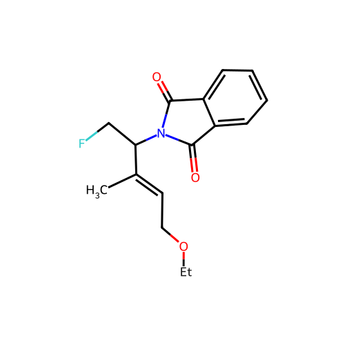 CCOCC=C(C)C(CF)N1C(=O)c2ccccc2C1=O